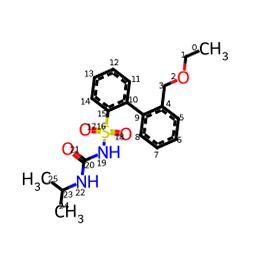 CCOCc1ccccc1-c1ccccc1S(=O)(=O)NC(=O)NC(C)C